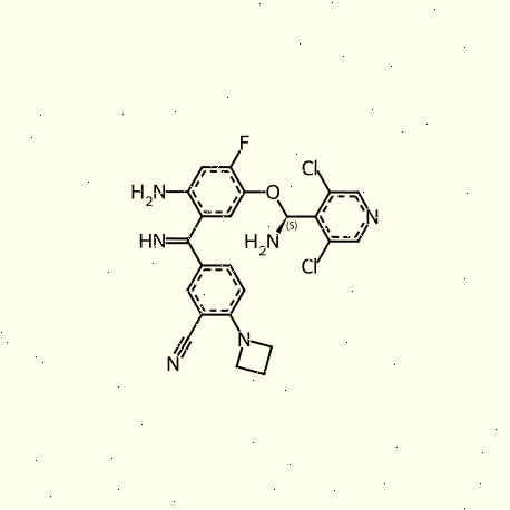 N#Cc1cc(C(=N)c2cc(O[C@H](N)c3c(Cl)cncc3Cl)c(F)cc2N)ccc1N1CCC1